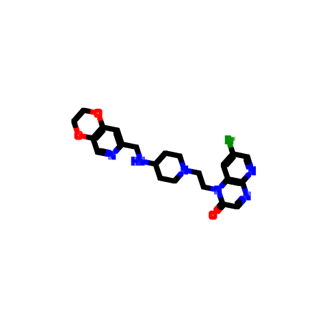 O=c1cnc2ncc(Br)cc2n1CCN1CCC(NCc2cc3c(cn2)OCCO3)CC1